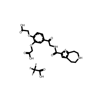 O=C(O)C(F)(F)F.O=C(O)COc1ccc(C(=O)CNC(=O)c2cc3c(s2)CCNCC3)cc1OCC(=O)O